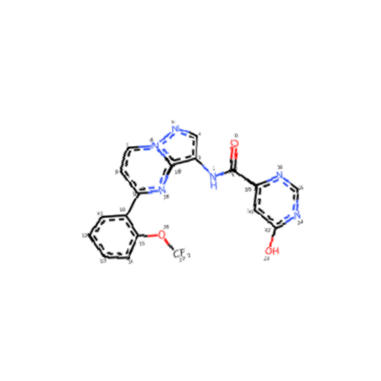 O=C(Nc1cnn2ccc(-c3ccccc3OC(F)(F)F)nc12)c1cc(O)ncn1